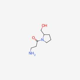 NCCC(=O)N1CCCC1CO